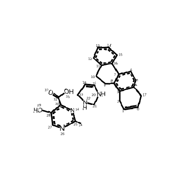 C1=CCc2c(ccc3c2CCc2ccccc2-3)C1.C1=CNCNC1.Cc1ncc(O)c(C(=O)O)n1